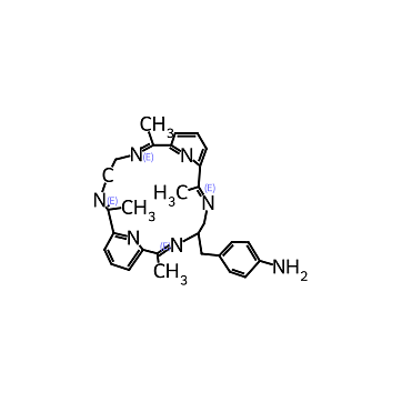 C/C1=N\CC/N=C(\C)c2cccc(n2)/C(C)=N/C(Cc2ccc(N)cc2)C/N=C(\C)c2cccc1n2